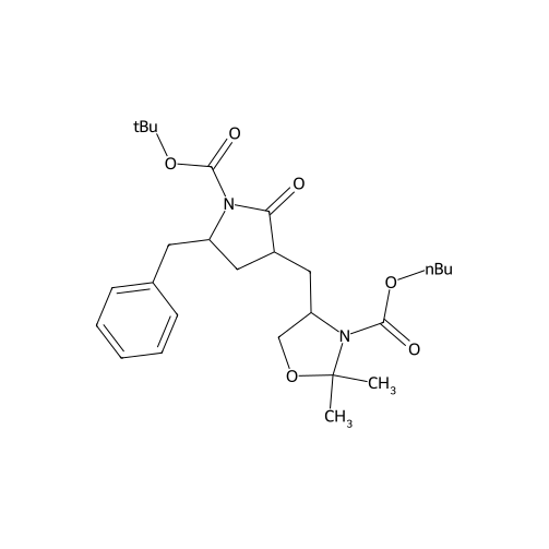 CCCCOC(=O)N1C(CC2CC(Cc3ccccc3)N(C(=O)OC(C)(C)C)C2=O)COC1(C)C